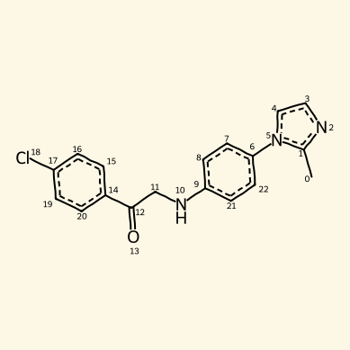 Cc1nccn1-c1ccc(NCC(=O)c2ccc(Cl)cc2)cc1